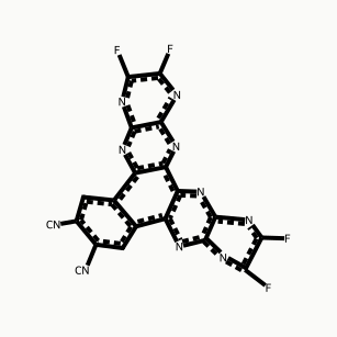 [C-]#[N+]c1cc2c(cc1[N+]#[C-])c1nc3nc(F)c(F)nc3nc1c1nc3nc(F)c(F)nc3nc21